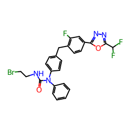 O=C(NCCBr)N(c1ccccc1)c1ccc(Cc2ccc(-c3nnc(C(F)F)o3)cc2F)cc1